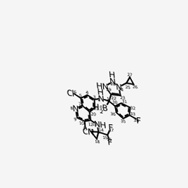 BC(Nc1cc(Cl)c2ncc(C#N)c(NC3(C(F)F)CC3)c2c1)(C1=CN(C2CC2)NN1)c1ccc(F)cc1